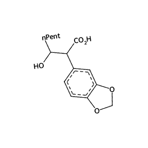 CCCCCC(O)C(C(=O)O)c1ccc2c(c1)OCO2